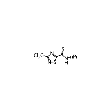 CCCNC(=S)c1nc(C(Cl)(Cl)Cl)ns1